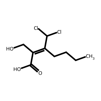 CCCCC(=C(CO)C(=O)O)C(Cl)Cl